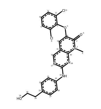 Cn1c(=O)c(Oc2c(Cl)cccc2Cl)cc2cnc(Nc3ccc(CCO)cc3)nc21